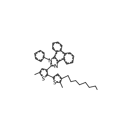 CCCCCCCCc1cc(-c2sc(C)cc2-c2nc3c4ccccc4c4ccccc4c3n2-c2ccccc2)sc1C